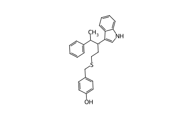 CC([C](CCSCc1ccc(O)cc1)c1c[nH]c2ccccc12)c1ccccc1